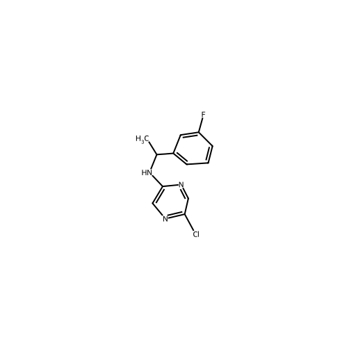 CC(Nc1cnc(Cl)cn1)c1cccc(F)c1